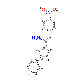 N[C@@H](Cc1ccc([N+](=O)[O-])cc1)c1csc(-c2ccccc2)n1